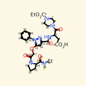 CCOC(=O)N1CCN(C(=O)C(CC(=O)O)NC(=O)c2cc(OCC(=O)N3CCCC3C(=O)N(F)CC)n(-c3ccccc3)n2)CC1